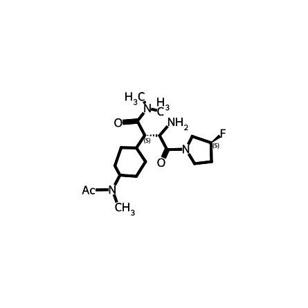 CC(=O)N(C)C1CCC([C@H](C(=O)N(C)C)C(N)C(=O)N2CC[C@H](F)C2)CC1